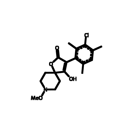 CON1CCC2(CC1)OC(=O)C(c1c(C)cc(C)c(Cl)c1C)=C2O